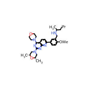 COc1ccc(-c2ccc3c(N4CCOCC4)nc(N4C[C@@H](C)O[C@@H](C)C4)nc3n2)cc1CNC(C)CC(C)C